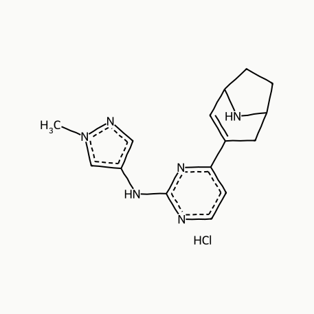 Cl.Cn1cc(Nc2nccc(C3=CC4CCC(C3)N4)n2)cn1